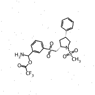 CS(=O)(=O)N1C[C@@H](c2ccccc2)C[C@H]1CS(=O)(=O)c1cccc(C(N)OC(=O)C(F)(F)F)c1